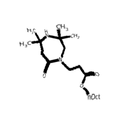 CCCCCCCCOC(=O)CCN1CC(C)(C)NC(C)(C)CC1=O